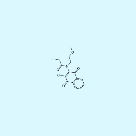 COCCN(C(=O)CCl)C1=C(Cl)C(=O)c2ccccc2C1=O